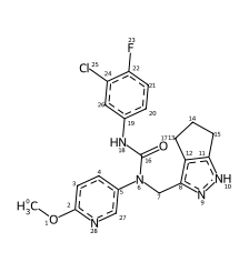 COc1ccc(N(Cc2n[nH]c3c2CCC3)C(=O)Nc2ccc(F)c(Cl)c2)cn1